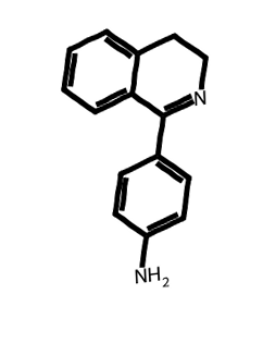 Nc1ccc(C2=NCCc3ccccc32)cc1